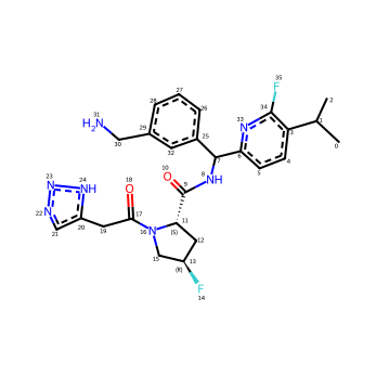 CC(C)c1ccc(C(NC(=O)[C@@H]2C[C@@H](F)CN2C(=O)Cc2cnn[nH]2)c2cccc(CN)c2)nc1F